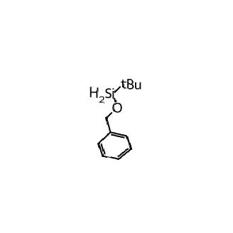 CC(C)(C)[SiH2]OCc1ccccc1